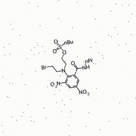 CCCCS(=O)(=O)OCCN(CCBr)c1c(C(=O)NCCC)cc([N+](=O)[O-])cc1[N+](=O)[O-]